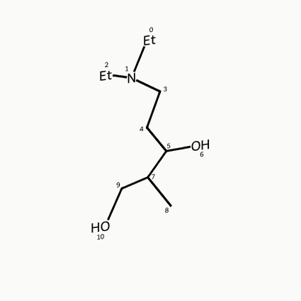 CCN(CC)CCC(O)C(C)CO